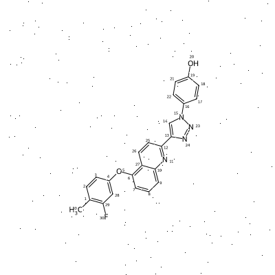 Cc1ccc(Oc2cccc3nc(-c4cn(-c5ccc(O)cc5)nn4)ccc23)cc1F